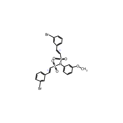 COc1cccc(N(S(=O)(=O)/C=C/c2cccc(Br)c2)S(=O)(=O)/C=C/c2cccc(Br)c2)c1